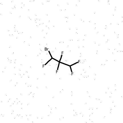 F[C](F)C(F)(F)C(F)Br